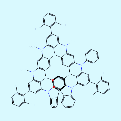 CSN1c2cc3c(cc2B2c4cc5c(cc4N(SC)c4cc(-c6c(C)cccc6C)cc1c42)N(c1ccccc1)c1cc(-c2c(C)cccc2C)cc2c1B5c1cccc4c5ccccc5n-2c14)B1c2c(cc(-c4c(C)cccc4C)cc2-n2c4ccccc4c4cccc1c42)N3SC